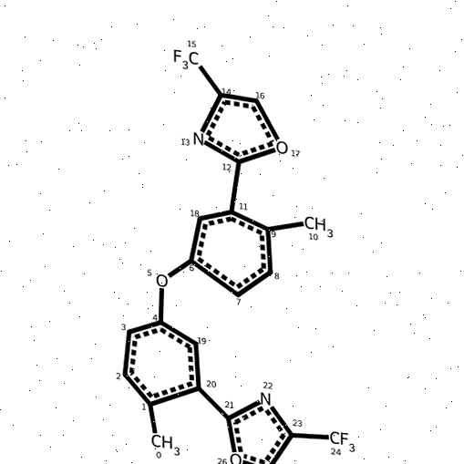 Cc1ccc(Oc2ccc(C)c(-c3nc(C(F)(F)F)co3)c2)cc1-c1nc(C(F)(F)F)co1